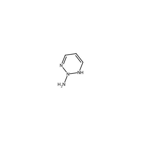 NN1N=CC=CN1